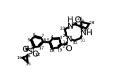 O=C(c1ccc(-c2cccc(S(=O)(=O)C3CC3)c2)cc1)N1CCNC(=O)C2(CCC2)NCC1